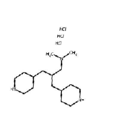 CN(C)CC(CC1CCNCC1)CC1CCNCC1.Cl.Cl.Cl